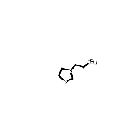 CC(C)(C)CCN1CCSC1